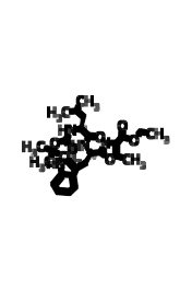 CCOC(=O)c1nc([C@@H](Cc2c[nH]c3ccccc23)NC(=O)[C@H](CC(C)C)NC(=O)OC(C)(C)C)oc1C